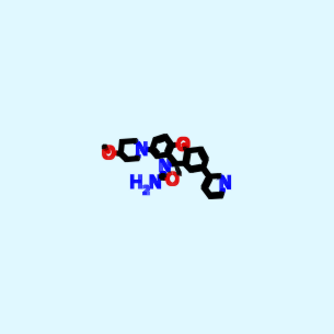 COC1CCN(c2ccc3c(c2)[C@]2(COC(N)=N2)c2cc(-c4cccnc4)ccc2O3)CC1